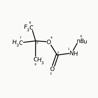 CCCCNC(=O)OC(C)(C)C(F)(F)F